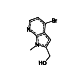 Cn1c(CO)cc2c(Br)ccnc21